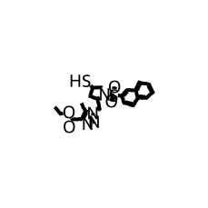 CCOC(=O)c1nnn(CC2CC(S)CN2S(=O)(=O)c2ccc3ccccc3c2)c1C